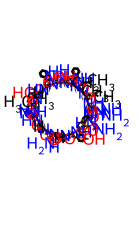 CCCCC[C@H]1C(=O)N(C)[C@@H](CCCC)C(=O)N[C@@H](CCCNC(=N)N)C(=O)N[C@H](C(=O)NCC(N)=O)CSCC(=O)N[C@@H](Cc2ccc(O)cc2)C(=O)N2CCC[C@H]2C(=O)N[C@@H](CC(N)=O)C(=O)N2CCC[C@H]2C(=O)N[C@@H](Cc2cnc[nH]2)C(=O)N[C@@H](CC(C)C)C(=O)N2C[C@@H](O)C[C@H]2C(=O)N[C@@H](Cc2c[nH]c3ccccc23)C(=O)N[C@@H](CO)C(=O)N[C@@H](Cc2c[nH]c3ccccc23)C(=O)N1C